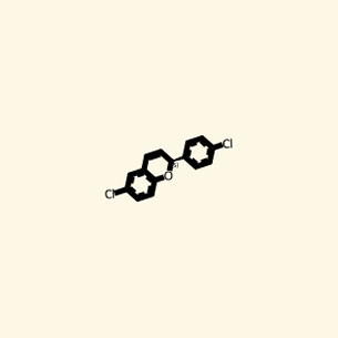 Clc1ccc([C@@H]2C=Cc3cc(Cl)ccc3O2)cc1